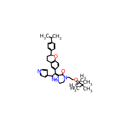 CC(C)c1ccc(C2CCc3cc(-c4c(-c5ccncc5)nn5c4C(=O)N(CCO[Si](C)(C)C(C)(C)C)CC5)ccc3O2)cc1